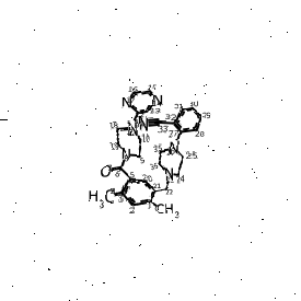 Cc1cc(C)c(C(=O)N2CCN(c3cnccn3)CC2)cc1CN1CCN(c2ccccc2C#N)CC1